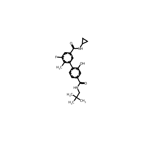 Cc1c(F)cc(C(=O)NC2CC2)cc1-c1ccc(C(=O)NCC(C)(C)C)cc1O